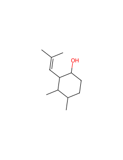 CC(C)=CC1C(O)CCC(C)C1C